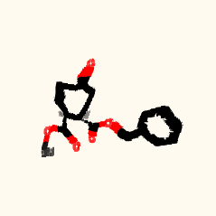 CC(C)(C)OC(=O)[C@H]1CCC(=O)C[C@@H]1C(=O)OCc1ccccc1